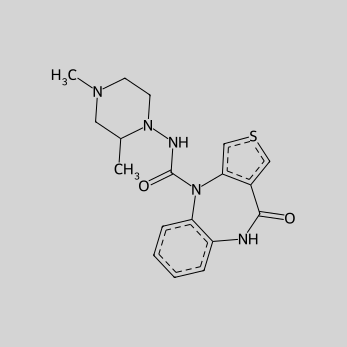 CC1CN(C)CCN1NC(=O)N1c2ccccc2NC(=O)c2cscc21